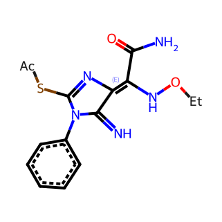 CCON/C(C(N)=O)=C1/N=C(SC(C)=O)N(c2ccccc2)C1=N